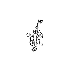 Nc1ncnc2c1c(-c1cc3nc(-c4cccs4)ccc3cc1Cl)nn2C1CC(CN2CCC2)C1